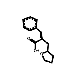 O=C(O)C(=Cc1ccccc1)CC1CCCO1